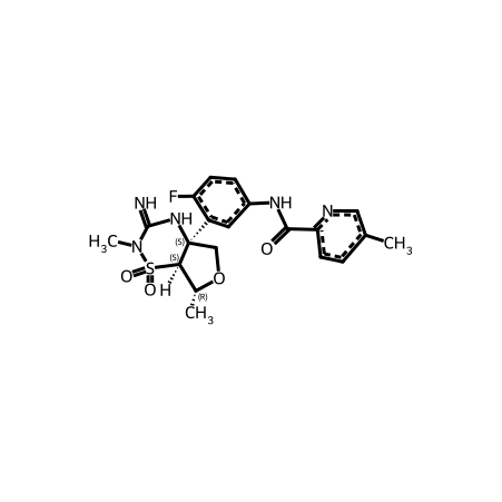 Cc1ccc(C(=O)Nc2ccc(F)c([C@]34CO[C@H](C)[C@H]3S(=O)(=O)N(C)C(=N)N4)c2)nc1